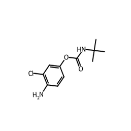 CC(C)(C)NC(=O)Oc1ccc(N)c(Cl)c1